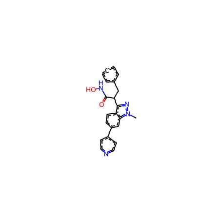 Cn1nc(C(Cc2ccccc2)C(=O)NO)c2ccc(-c3ccncc3)cc21